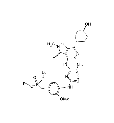 CCOP(=O)(Cc1ccc(Nc2ncc(C(F)(F)F)c(Nc3cnc([C@H]4CC[C@H](O)CC4)c4c3C(=O)N(C)C4)n2)c(OC)c1)OCC